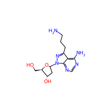 NCCCc1nn(C2C[C@H](O)[C@@H](CO)O2)c2ncnc(N)c12